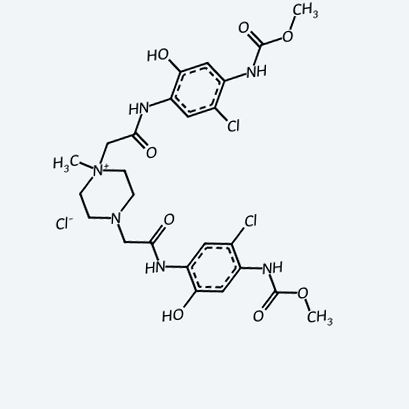 COC(=O)Nc1cc(O)c(NC(=O)CN2CC[N+](C)(CC(=O)Nc3cc(Cl)c(NC(=O)OC)cc3O)CC2)cc1Cl.[Cl-]